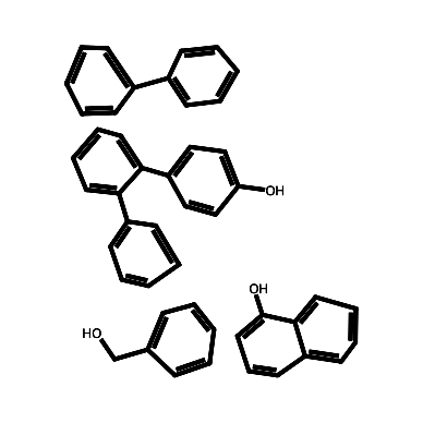 OCc1ccccc1.Oc1ccc(-c2ccccc2-c2ccccc2)cc1.Oc1cccc2ccccc12.c1ccc(-c2ccccc2)cc1